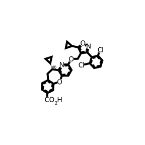 O=C(O)c1ccc2c(c1)Oc1ccc(OCc3c(-c4c(Cl)cccc4Cl)noc3C3CC3)nc1[C@@H](C1CC1)C2